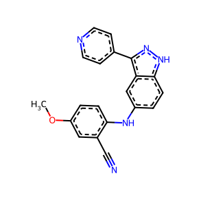 COc1ccc(Nc2ccc3[nH]nc(-c4ccncc4)c3c2)c(C#N)c1